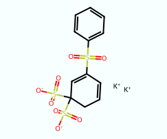 O=S(=O)(C1=CC(S(=O)(=O)[O-])(S(=O)(=O)[O-])CC=C1)c1ccccc1.[K+].[K+]